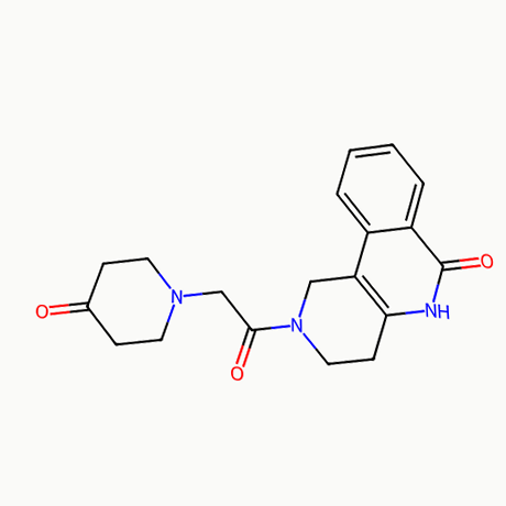 O=C1CCN(CC(=O)N2CCc3[nH]c(=O)c4ccccc4c3C2)CC1